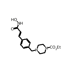 CCOC(=O)N1CCN(Cc2ccc(C=CC(=O)NO)cc2)CC1